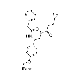 CCCC(C)COc1ccc([C@H](CNC(=O)CCC2CC2)NC(=O)Cc2ccccc2)cc1